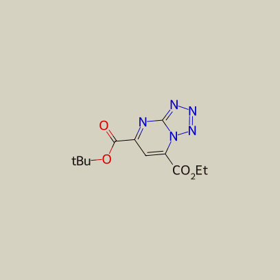 CCOC(=O)c1cc(C(=O)OC(C)(C)C)nc2nnnn12